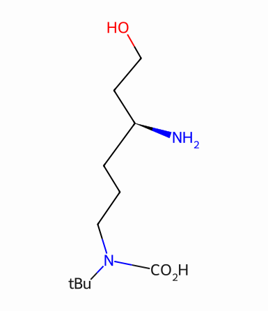 CC(C)(C)N(CCC[C@H](N)CCO)C(=O)O